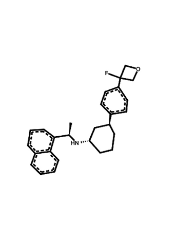 C[C@@H](N[C@H]1CCC[C@H](c2ccc(C3(F)COC3)cc2)C1)c1cccc2ccccc12